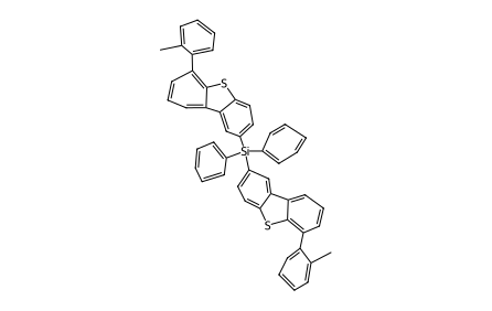 Cc1ccccc1-c1cccc2c1sc1ccc([Si](c3ccccc3)(c3ccccc3)c3ccc4sc5c(-c6ccccc6C)cccc5c4c3)cc12